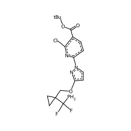 CC(C)(C)OC(=O)c1ccc(-n2ccc(OCC3(C(F)(F)P)CC3)n2)nc1Cl